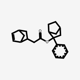 O=C(CC1CC2C=CC1C2)OC1(c2ccccc2)CC2CCC1C2